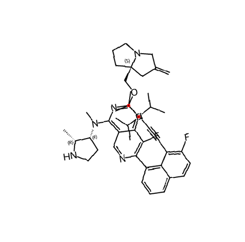 C=C1CN2CCC[C@@]2(COc2nc(N(C)[C@@H]3CCN[C@@H]3C)c3cnc(-c4cccc5ccc(F)c(C#C[Si](C(C)C)(C(C)C)C(C)C)c45)c(F)c3n2)C1